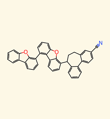 N#Cc1ccc2c(c1)CCC(c1cccc3c1oc1cccc(-c4cccc5c4oc4ccccc45)c13)c1ccccc1-2